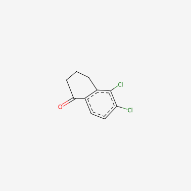 O=C1CCCc2c1ccc(Cl)c2Cl